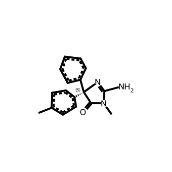 Cc1ccc([C@]2(c3ccccc3)N=C(N)N(C)C2=O)cc1